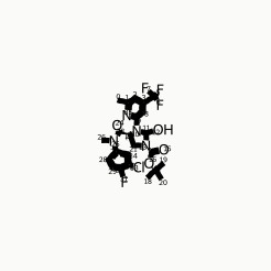 Cc1cc(C(F)(F)F)cc(N2C(O)N(C(=O)OC(C)(C)C)C[C@H]2C(=O)N(C)c2ccc(F)c(Cl)c2)n1